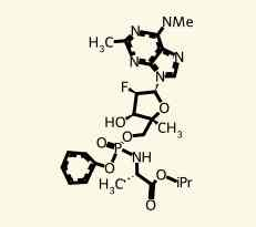 CNc1nc(C)nc2c1ncn2[C@@H]1O[C@](C)(COP(=O)(N[C@@H](C)C(=O)OC(C)C)Oc2ccccc2)[C@@H](O)[C@H]1F